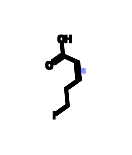 O=C(O)/C=C\CCI